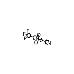 O=C1CC(c2cc(F)c(F)c(F)c2)CC(=O)N1C12CC(c3ccncc3)(C1)C2